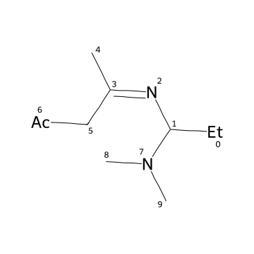 CCC(N=C(C)CC(C)=O)N(C)C